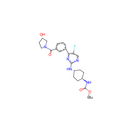 CC(C)(C)OC(=O)N[C@H]1CC[C@H](Nc2ncc(F)c(-c3cccc(C(=O)N4CC[C@H](O)C4)c3)n2)CC1